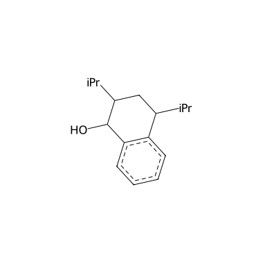 CC(C)C1CC(C(C)C)C(O)c2ccccc21